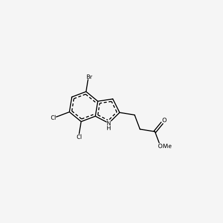 COC(=O)CCc1cc2c(Br)cc(Cl)c(Cl)c2[nH]1